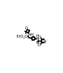 CCOC(=O)[C@H](Cc1ccc(NC(=O)c2c(Cl)cncc2Cl)cc1)NC1=CC(=O)C1(C)C